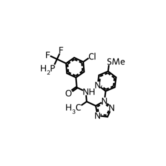 CSc1ccc(-n2ncnc2C(C)NC(=O)c2cc(Cl)cc(C(F)(F)P)c2)nc1